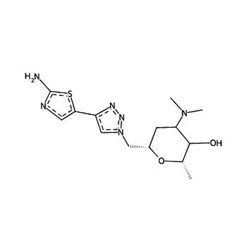 C[C@@H]1O[C@H](Cn2cc(-c3cnc(N)s3)nn2)CC(N(C)C)C1O